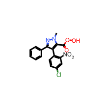 Cn1nc(-c2ccccc2)c(-c2ccc(Cl)cc2[N+](=O)[O-])c1C(=O)OO